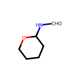 O=CNC1CCCCO1